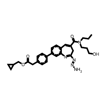 CCCN(CCCO)C(=O)C1=Cc2ccc(-c3ccc(CC(=O)OCC4CC4)cc3)cc2N=C(N=NN)C1